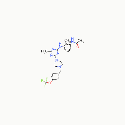 CC(=O)Nc1cccc(Nc2nc(C)nc(N3CCN(Cc4ccc(OC(F)(F)F)cc4)CC3)n2)c1C